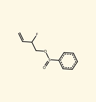 C=CC(F)COS(=O)c1ccccc1